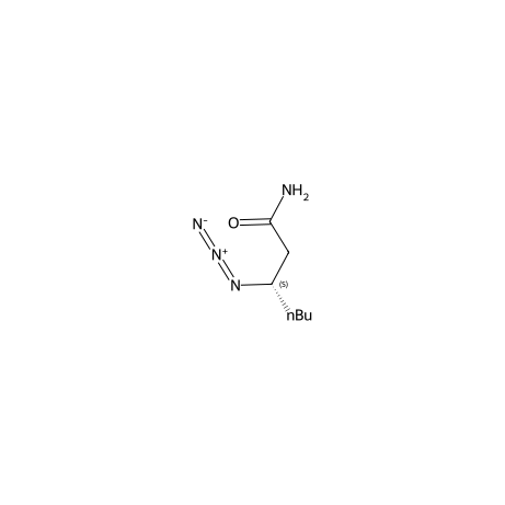 CCCC[C@@H](CC(N)=O)N=[N+]=[N-]